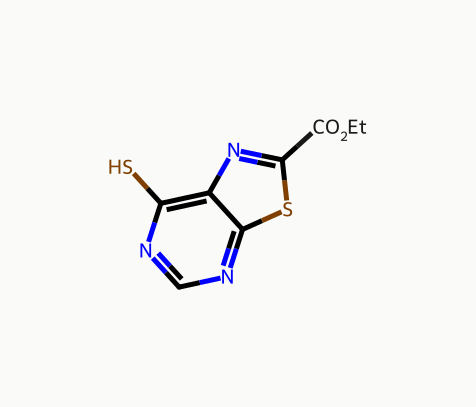 CCOC(=O)c1nc2c(S)ncnc2s1